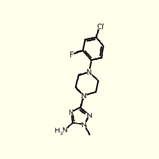 Cn1nc(N2CCN(c3ccc(Cl)cc3F)CC2)nc1N